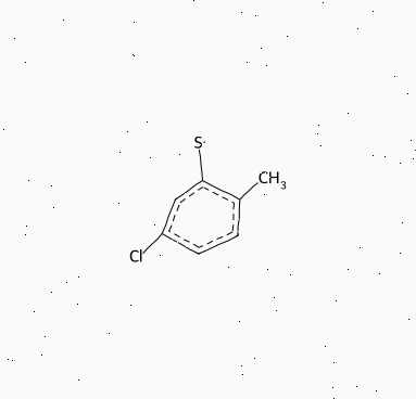 Cc1ccc(Cl)cc1[S]